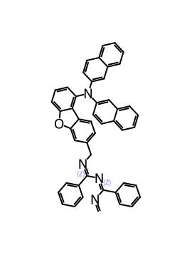 C=N/C(=N\C(=N/Cc1ccc2c(c1)oc1cccc(N(c3ccc4ccccc4c3)c3ccc4ccccc4c3)c12)c1ccccc1)c1ccccc1